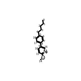 CCCCCc1ccc(-c2ccc(OC)nc2)cc1